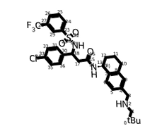 CC(C)(C)CNCc1ccc2c(c1)CCC[C@H]2NC(=O)CC(NS(=O)(=O)c1cccc(C(F)(F)F)c1)c1ccc(Cl)cc1